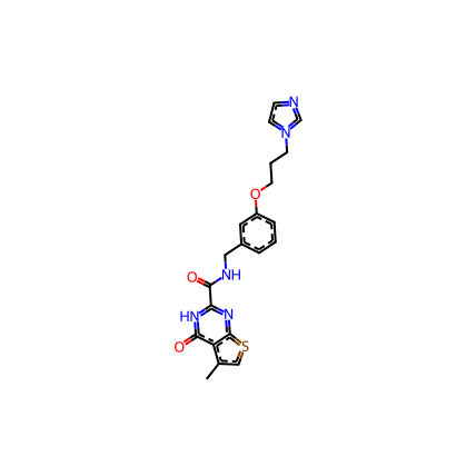 Cc1csc2nc(C(=O)NCc3cccc(OCCCn4ccnc4)c3)[nH]c(=O)c12